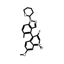 COc1ccc2c(-c3c(C)ccc4c3cnn4C3CCCCO3)c(F)c[n+]([O-])c2c1